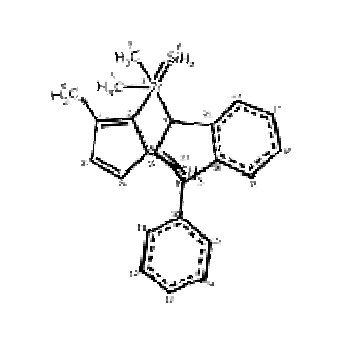 CC1=[C]([Zr]([CH3])([CH3])(=[SiH2])[CH]2C=C(c3ccccc3)c3ccccc32)C(C)C=C1